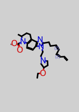 C=C/C=C\C=C/CCc1nc2c3c(ccc2n1CCN1CCC(OCC)C1)N(C(=O)OC)C(C)CC3